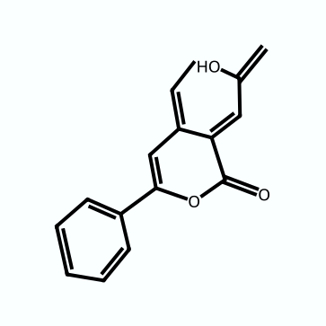 C=C(O)/C=c1/c(=O)oc(-c2ccccc2)c/c1=C/C